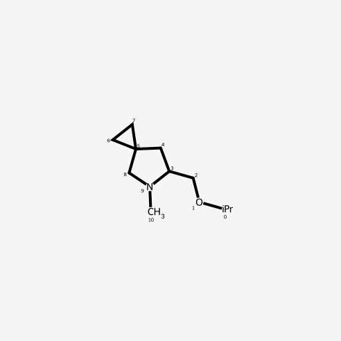 CC(C)OCC1CC2(CC2)CN1C